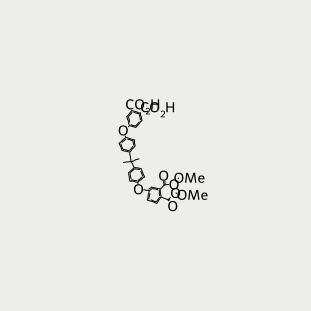 COOC(=O)c1ccc(Oc2ccc(C(C)(C)c3ccc(Oc4ccc(C(=O)O)c(C(=O)O)c4)cc3)cc2)cc1C(=O)OOC